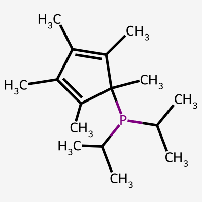 CC1=C(C)C(C)(P(C(C)C)C(C)C)C(C)=C1C